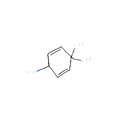 CC1(C)C=CC(N)C=C1